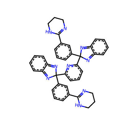 c1cc(C2=NCCCN2)cc(C2(c3cccc(C4(c5cccc(C6=NCCCN6)c5)N=c5ccccc5=N4)n3)N=c3ccccc3=N2)c1